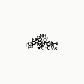 CCOc1c(CC(N)=O)cc([C@@](O)(CNC(=O)c2cc(OC)c3nc(C4CC4)cn3c2)C2CC2)nc1-c1ccc2c(c1)OC(F)(F)O2